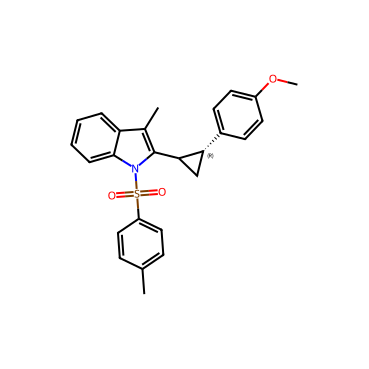 COc1ccc([C@@H]2CC2c2c(C)c3ccccc3n2S(=O)(=O)c2ccc(C)cc2)cc1